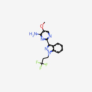 COc1cnc(-c2nn(CCC(F)(F)F)c3ccccc23)nc1N